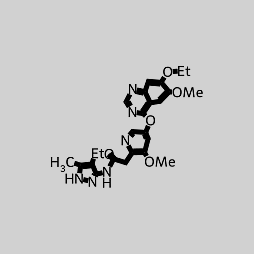 CCOc1cc2ncnc(Oc3cnc(CC(=O)Nc4n[nH]c(C)c4CC)c(OC)c3)c2cc1OC